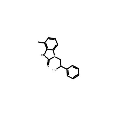 Cc1cccc2c1[nH]c(=O)n2CC(O)c1ccccc1